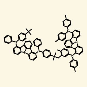 Cc1ccc(N(c2ccc(C)cc2)c2cccc3c2c2cccc4c5c(N(c6ccc(C)cc6)c6ccc(C)c(CC(C)(C)c7ccc(N(c8ccccc8)c8cccc9c8c8cccc%10c%11c(N(c%12ccccc%12)c%12ccc(C(C)(C)C)cc%12)cccc%11n9c%108)cc7)c6)cccc5n3c24)cc1